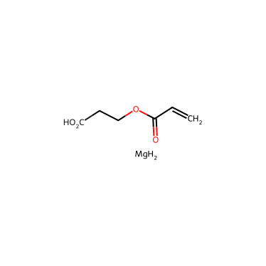 C=CC(=O)OCCC(=O)O.[MgH2]